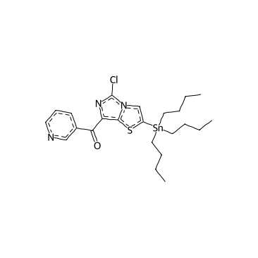 CCC[CH2][Sn]([CH2]CCC)([CH2]CCC)[c]1cn2c(Cl)nc(C(=O)c3cccnc3)c2s1